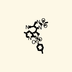 Cc1ccc(S(=O)(=O)n2cc(-c3nc(S(C)(=O)=O)ncc3C#N)c3cc(C)cnc32)cc1